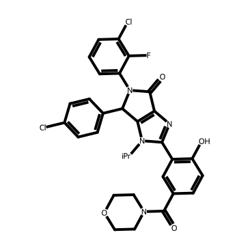 CC(C)n1c(-c2cc(C(=O)N3CCOCC3)ccc2O)nc2c1C(c1ccc(Cl)cc1)N(c1cccc(Cl)c1F)C2=O